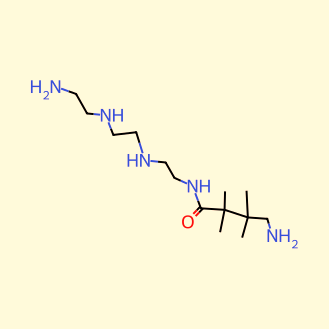 CC(C)(CN)C(C)(C)C(=O)NCCNCCNCCN